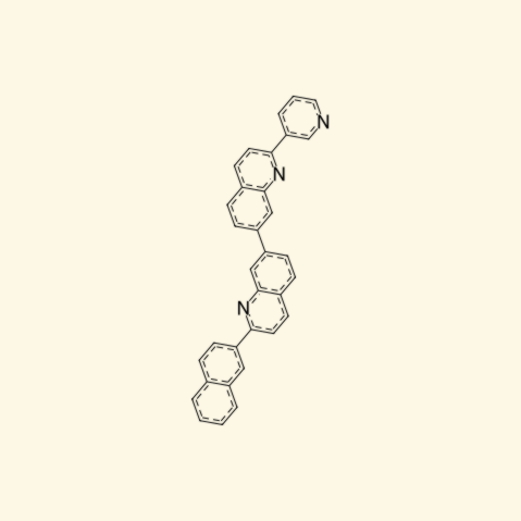 c1cncc(-c2ccc3ccc(-c4ccc5ccc(-c6ccc7ccccc7c6)nc5c4)cc3n2)c1